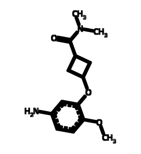 COc1ccc(N)cc1OC1CC(C(=O)N(C)C)C1